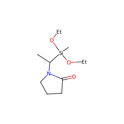 CCO[Si](C)(OCC)C(C)N1CCCC1=O